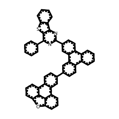 c1ccc(-c2nc(-c3ccc4c5ccccc5c5ccc(-c6ccc7c(c6)c6cccc8oc9cccc7c9c86)cc5c4c3)nc3c2sc2ccccc23)cc1